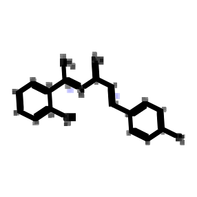 N=C(/C=C/c1ccc(Br)cc1)/N=C(\N)c1ccccc1O